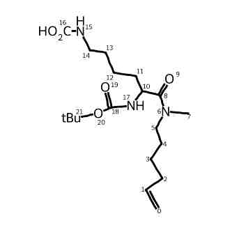 C=CCCCCN(C)C(=O)C(CCCCNC(=O)O)NC(=O)OC(C)(C)C